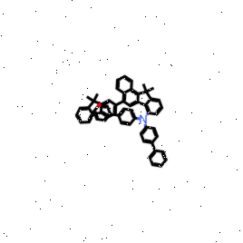 CC1(C)c2ccccc2-c2ccc(-c3cc4c(c5ccccc35)C(C)(C)c3cccc(N(c5ccc(-c6ccccc6)cc5)c5ccc(-c6ccccc6)cc5)c3-4)cc21